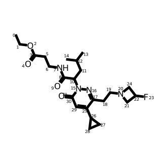 CCOC(=O)CCNC(=O)C(CC(C)C)n1nc(CCN2CC(F)C2)c(C2CC2)cc1=O